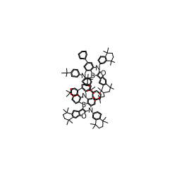 CC(C)(C)c1ccc(N2c3ccc(C(C)(C)C)cc3B3c4c2cc(-c2ccccc2)cc4N(c2ccc4c(c2)C(C)(C)CCC4(C)C)c2oc4cc5c(cc4c23)C(C)(C)C(CC(C)(C)c2cc3c4c(c2)N(c2c(-c6ccccc6)cc(C(C)(C)C)cc2-c2ccccc2)c2cc(C(C)(C)C)ccc2B4c2c(oc4cc6c(cc24)C(C)(C)CCC6(C)C)N3c2ccc3c(c2)C(C)(C)CCC3(C)C)CC5(C)C)cc1